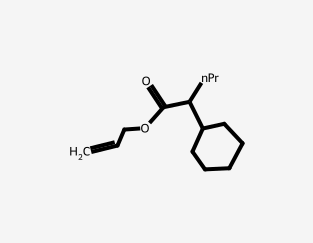 C=CCOC(=O)C(CCC)C1CCCCC1